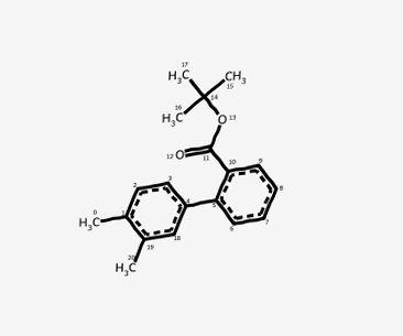 Cc1ccc(-c2ccccc2C(=O)OC(C)(C)C)cc1C